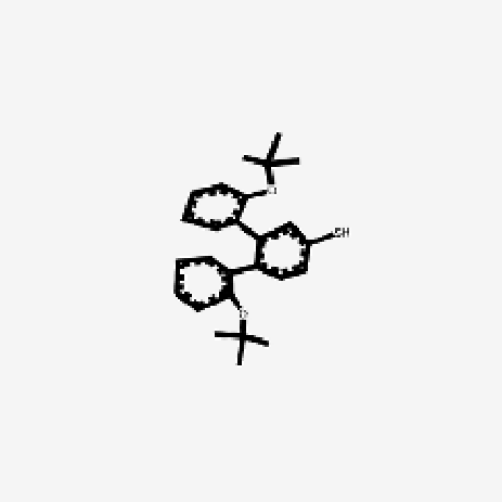 CC(C)(C)Oc1ccccc1-c1ccc(S)cc1-c1ccccc1OC(C)(C)C